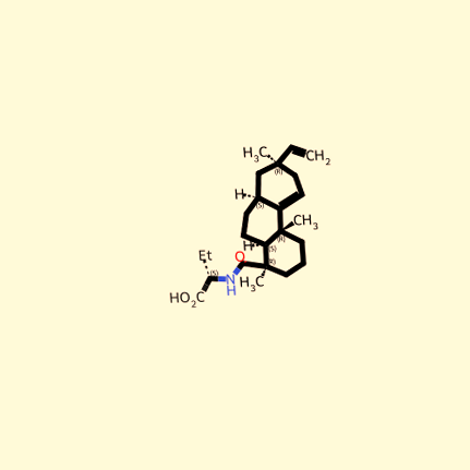 C=C[C@@]1(C)CC=C2[C@@H](CC[C@@H]3[C@](C)(C(=O)N[C@@H](CC)C(=O)O)CCC[C@@]23C)C1